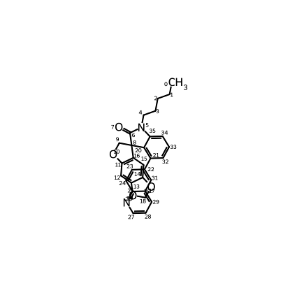 CCCCCN1C(=O)C2(COc3cc4c(cc32)OCO4)c2c(-c3ccc4ncccc4c3)cccc21